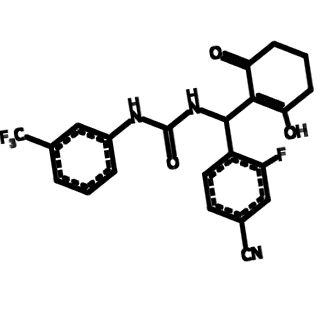 N#Cc1ccc(C(NC(=O)Nc2cccc(C(F)(F)F)c2)C2=C(O)CCCC2=O)c(F)c1